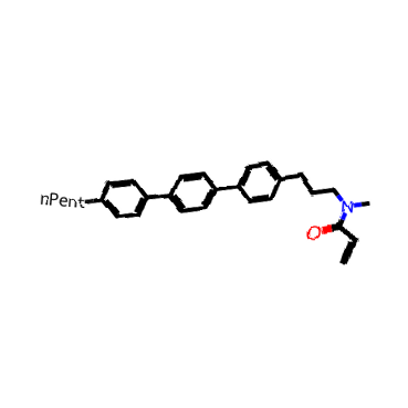 C=CC(=O)N(C)CCCc1ccc(-c2ccc(-c3ccc(CCCCC)cc3)cc2)cc1